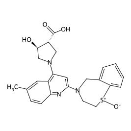 Cc1ccc2nc(N3CC[S+]([O-])c4ccccc4C3)cc(N3C[C@@H](O)[C@H](C(=O)O)C3)c2c1